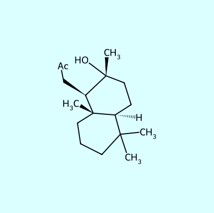 CC(=O)C[C@@H]1[C@@]2(C)CCCC(C)(C)[C@@H]2CC[C@@]1(C)O